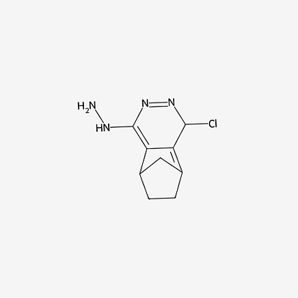 NNC1=C2C(=C3CCC2C3)C(Cl)N=N1